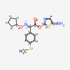 CSc1ccc(/C(=N\OC2CCCC2)C(=O)Oc2ncc(N)s2)cc1